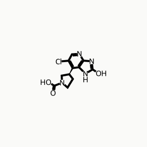 O=C(O)N1CC[C@H](c2c(Cl)cnc3nc(O)[nH]c23)C1